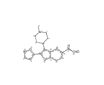 CN1CCC(c2c(-c3ccno3)oc3ccc(NC=O)cc23)CC1